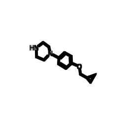 c1cc(N2CCNCC2)ccc1OCC1CC1